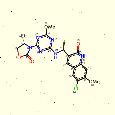 CC[C@H]1COC(=O)N1c1nc(N[C@@H](C)c2cc3cc(Cl)c(OC)cc3[nH]c2=O)nc(OC)n1